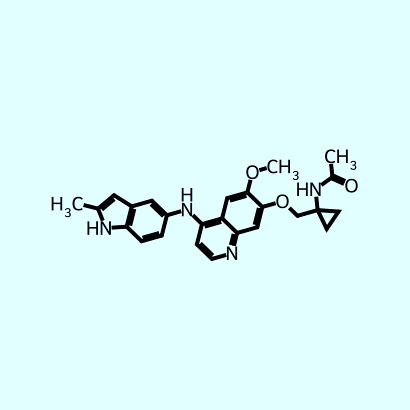 COc1cc2c(Nc3ccc4[nH]c(C)cc4c3)ccnc2cc1OCC1(NC(C)=O)CC1